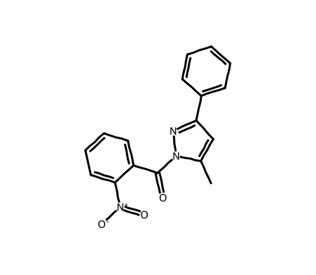 Cc1cc(-c2ccccc2)nn1C(=O)c1ccccc1[N+](=O)[O-]